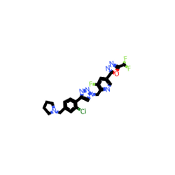 Fc1cc(-c2nnc(C(F)F)o2)cnc1Cn1cc(-c2ccc(CN3CCCC3)cc2Cl)nn1